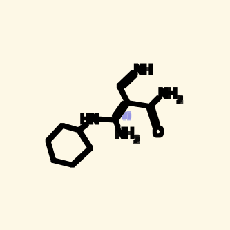 N=C/C(C(N)=O)=C(/N)NC1CCCCC1